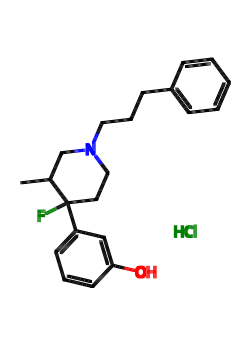 CC1CN(CCCc2ccccc2)CCC1(F)c1cccc(O)c1.Cl